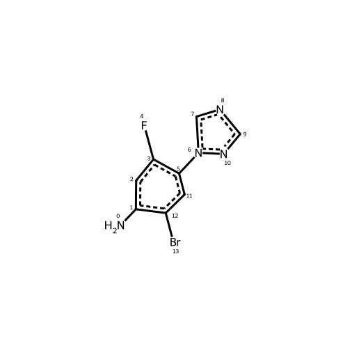 Nc1cc(F)c(-n2cncn2)cc1Br